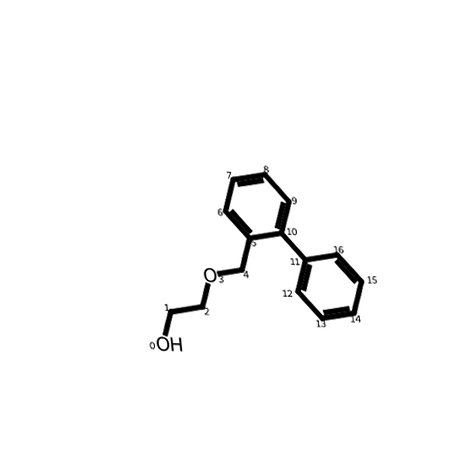 OCCOCc1ccccc1-c1ccccc1